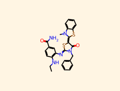 CCNc1ccc(C(N)=O)cc1N=C1SC(=C2Sc3ccccc3N2C)C(=O)N1Cc1ccccc1